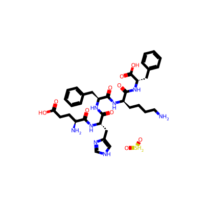 NCCCC[C@@H](NC(=O)[C@H](Cc1ccccc1)NC(=O)[C@H](Cc1c[nH]cn1)NC(=O)[C@@H](N)CCC(=O)O)C(=O)N[C@@H](Cc1ccccc1)C(=O)O.O=[SH2]=O